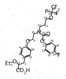 CCOC(Cc1ccc(OCCN(CCCOC(F)(F)C(F)(F)F)C(=O)Oc2ccc(F)cc2)cc1)C(=O)O